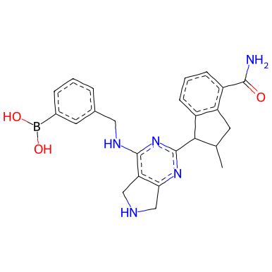 CC1Cc2c(C(N)=O)cccc2C1c1nc2c(c(NCc3cccc(B(O)O)c3)n1)CNC2